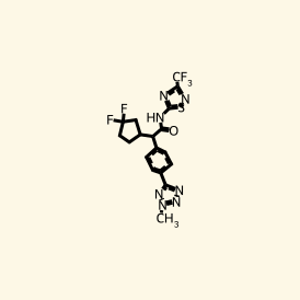 Cn1nnc(-c2ccc(C(C(=O)Nc3nc(C(F)(F)F)ns3)C3CCC(F)(F)C3)cc2)n1